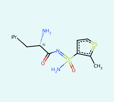 Cc1sccc1S(N)(=O)=NC(=O)[C@@H](N)CC(C)C